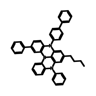 CCCCc1cc2c3c(c1)N(c1ccc(-c4ccccc4)cc1)c1ccc(-c4ccccc4)cc1B3c1ccccc1N2c1ccccc1